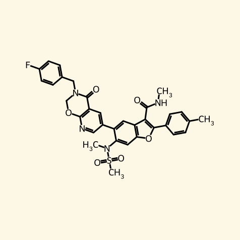 CNC(=O)c1c(-c2ccc(C)cc2)oc2cc(N(C)S(C)(=O)=O)c(-c3cnc4c(c3)C(=O)N(Cc3ccc(F)cc3)CO4)cc12